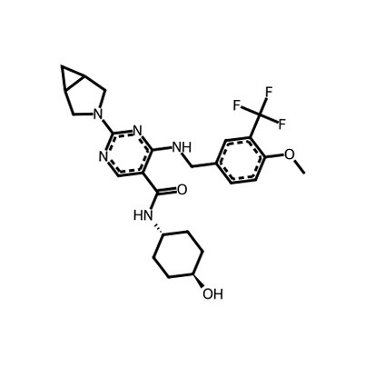 COc1ccc(CNc2nc(N3CC4CC4C3)ncc2C(=O)N[C@H]2CC[C@H](O)CC2)cc1C(F)(F)F